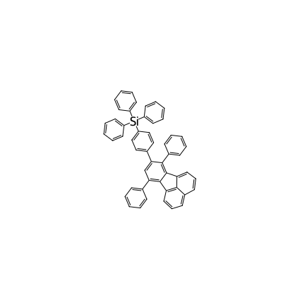 c1ccc(-c2cc(-c3ccc([Si](c4ccccc4)(c4ccccc4)c4ccccc4)cc3)c(-c3ccccc3)c3c2-c2cccc4cccc-3c24)cc1